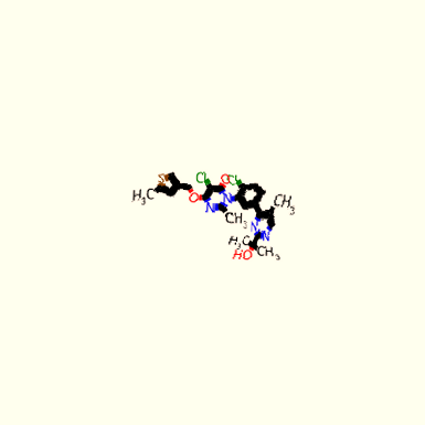 Cc1cc(COc2nc(C)n(-c3cc(-c4nc(C(C)(C)O)ncc4C)ccc3Cl)c(=O)c2Cl)cs1